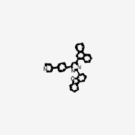 c1ccc2c(c1)cc(-c1cc(-c3ccc(-c4ccncc4)cc3)nc(-c3cccc4c3oc3ccccc34)n1)c1ccccc12